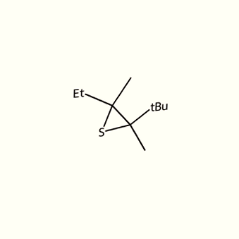 CCC1(C)SC1(C)C(C)(C)C